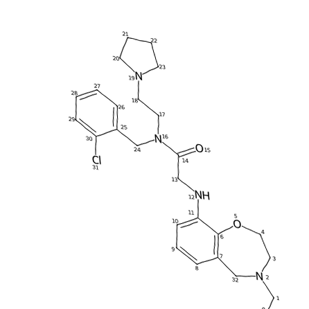 CC(C)CN1CCOc2c(cccc2NCC(=O)N(CCN2CCCC2)Cc2ccccc2Cl)C1